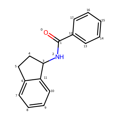 O=C(NC1CCc2ccccc21)c1cc[c]cc1